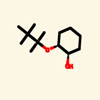 CC(C)(C)[Si](C)(C)O[C@@H]1CCCC[C@@H]1O